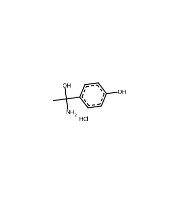 CC(N)(O)c1ccc(O)cc1.Cl